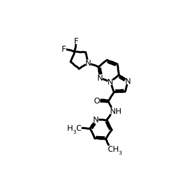 Cc1cc(C)nc(NC(=O)c2cnc3ccc(N4CCC(F)(F)C4)nn23)c1